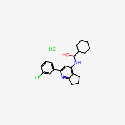 Cl.OC(Nc1cc(-c2cccc(Cl)c2)nc2c1CCC2)C1CCCCC1